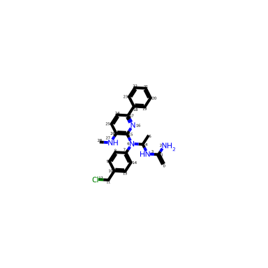 C=C(N)NC(C)N(c1ccc(CCl)cc1)c1nc(-c2ccccc2)ccc1NC